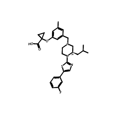 Cc1cc(CN2CCN(c3ncc(-c4cccc(F)c4)s3)[C@H](CC(C)C)C2)cc(OC2(C(=O)O)CC2)c1